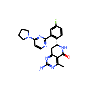 Cc1nc(N)nc2c1C(=O)N[C@@H](c1ccc(F)cc1-c1nccc(N3CCCC3)n1)C2